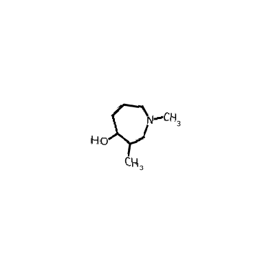 CC1CN(C)CCCC1O